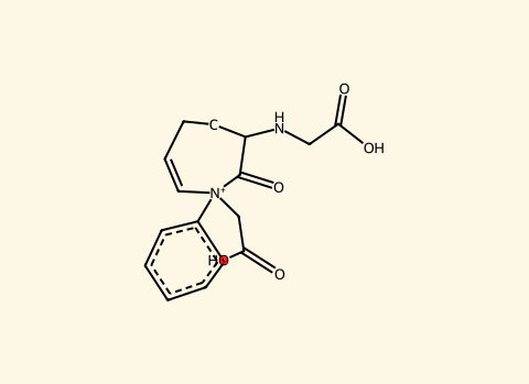 O=C(O)CNC1CCC=C[N+](CC(=O)O)(c2ccccc2)C1=O